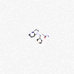 CNC(=O)C[C@@H](c1ccsc1)N1CCc2nc(C)ccc21